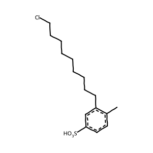 Cc1ccc(S(=O)(=O)O)cc1CCCCCCCCCCl